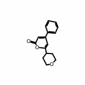 O=c1cc(-c2ccccc2)cc(C2CCOCC2)o1